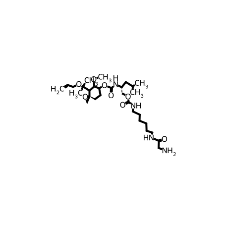 C=CCOC(C)(C)C1C(OC)C(OC(=O)N[C@@H](COC(=O)NCCCCCCNC(=O)CN)CC(C)C)CC[C@]12CO2